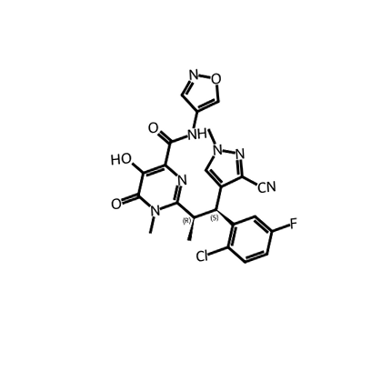 C[C@@H](c1nc(C(=O)Nc2cnoc2)c(O)c(=O)n1C)[C@H](c1cc(F)ccc1Cl)c1cn(C)nc1C#N